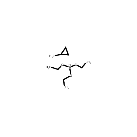 CC1CC1.CCO[SiH](OCC)OCC